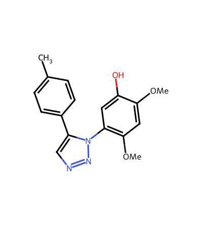 COc1cc(OC)c(-n2nncc2-c2ccc(C)cc2)cc1O